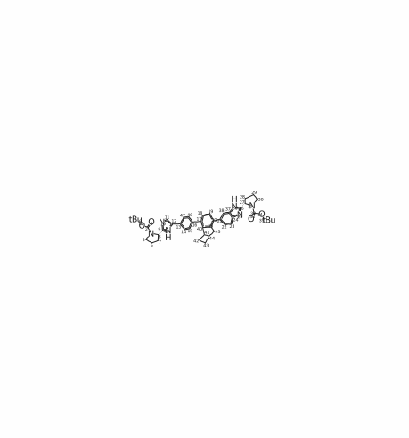 CC(C)(C)OC(=O)N1CCC[C@H]1c1ncc(-c2ccc(-c3ccc(-c4ccc5nc([C@@H]6CCCN6C(=O)OC(C)(C)C)[nH]c5c4)c4c3C3CCC3C4)cc2)[nH]1